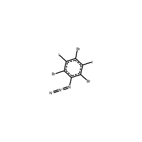 [N-]=[N+]=Nc1c(Br)c(I)c(Br)c(I)c1Br